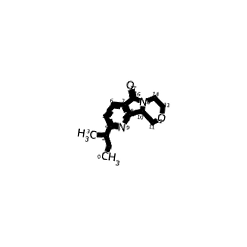 CCC(C)c1ccc2c(n1)C1COCCN1C2=O